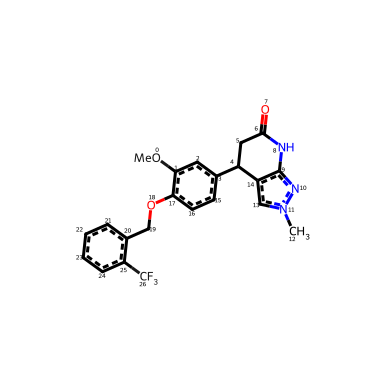 COc1cc(C2CC(=O)Nc3nn(C)cc32)ccc1OCc1ccccc1C(F)(F)F